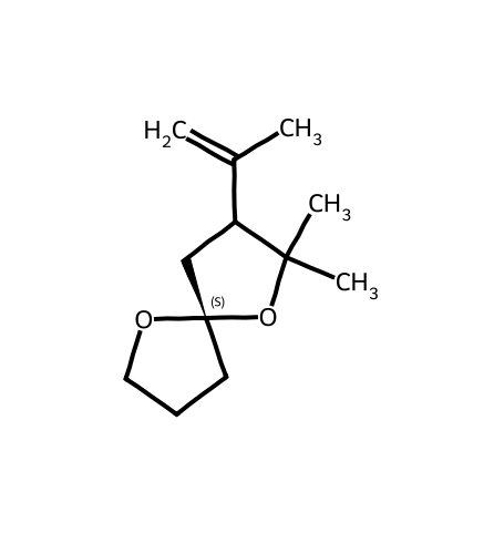 C=C(C)C1C[C@]2(CCCO2)OC1(C)C